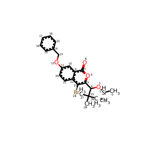 C[SiH](C)OC(c1oc(=O)c2cc(OCc3ccccc3)ccc2c1Br)C(C)(C)C